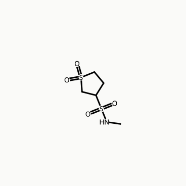 CNS(=O)(=O)C1CCS(=O)(=O)C1